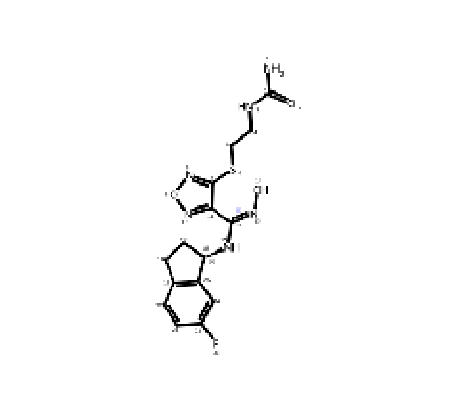 NC(=O)NCCSc1nonc1/C(=N\O)N[C@@H]1CCc2ccc(F)cc21